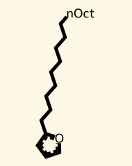 CCCCCCCCCCCCCCCCCc1ccco1